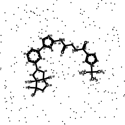 CC(C)(C)n1ccc(C(=O)NCC(=O)Nc2nc(-c3cccc(N4C[C@@H]5OCC(F)(F)[C@@H]5C4)n3)cs2)c1